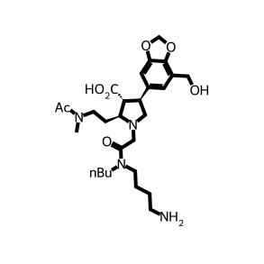 CCCCN(CCCCN)C(=O)CN1C[C@H](c2cc(CO)c3c(c2)OCO3)[C@@H](C(=O)O)[C@@H]1CCN(C)C(C)=O